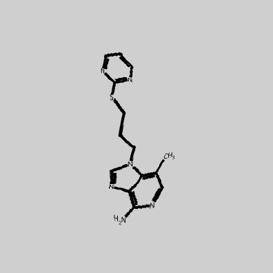 Cc1cnc(N)c2ncn(CCCSc3ncccn3)c12